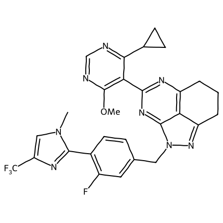 COc1ncnc(C2CC2)c1-c1nc2c3c(nn(Cc4ccc(-c5nc(C(F)(F)F)cn5C)c(F)c4)c3n1)CCC2